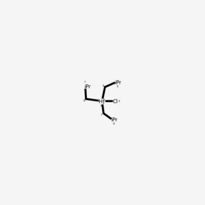 CC(C)[CH2][Hf]([Cl])([CH2]C(C)C)[CH2]C(C)C